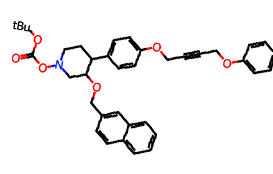 CC(C)(C)OC(=O)ON1CCC(c2ccc(OCC#CCOc3ccccc3)cc2)C(OCc2ccc3ccccc3c2)C1